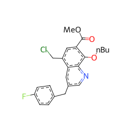 CCCCOc1c(C(=O)OC)cc(CCl)c2cc(Cc3ccc(F)cc3)cnc12